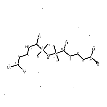 CCC(NCCN(CC)CC)[Si](C)(C)O[Si](C)(C)C(CC)NCCN(CC)CC